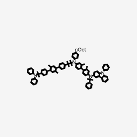 CCCCCCCCc1ccc(N(c2ccc(-c3ccc(N(c4ccc5c(c4)c4ccccc4n5-c4ccccc4)C(C)(C)c4ccccc4)cc3C)c(C)c2)C(C)(C)C(C)(C)c2ccc(-c3cc(C)c(-c4ccc(C(C)(C)N(c5ccccc5)c5ccccc5)cc4)cc3C)cc2)cc1